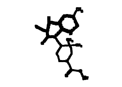 Cc1cnc2c(c1)[nH]c(=O)c(=O)n2C1CCN(C(=O)OC(C)(C)C)CC1(C)C